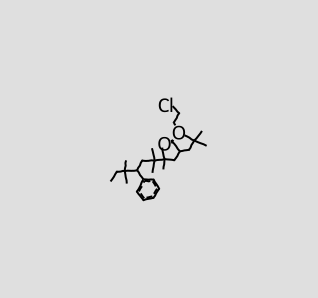 CCC(C)(C)C(CC(C)(C)C(C)(C)CC(CC(C)(C)C)C(=O)OCCCl)c1ccccc1